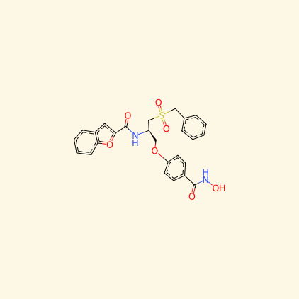 O=C(NO)c1ccc(OC[C@H](CS(=O)(=O)Cc2ccccc2)NC(=O)c2cc3ccccc3o2)cc1